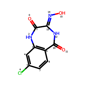 O=c1[nH]c2cc(Cl)ccc2c(=O)[nH]c1=NO